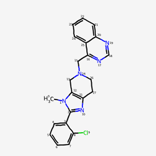 Cn1c(-c2ccccc2Cl)nc2c1CN(Cc1ncnc3ccccc13)CC2